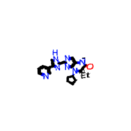 CC[C@@H]1C(=O)N(C)c2cnc(-c3nc(-c4cccnc4)c[nH]3)nc2N1C1CCCC1